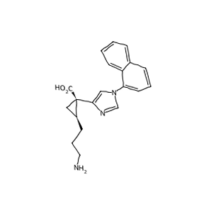 NCCC[C@H]1C[C@]1(C(=O)O)c1cn(-c2cccc3ccccc23)cn1